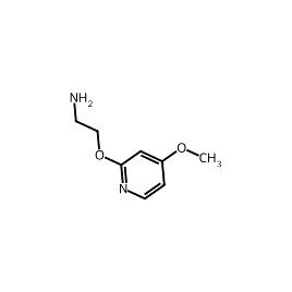 COc1ccnc(OCCN)c1